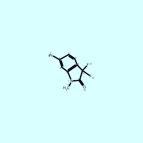 CC(C)c1ccc2c(c1)N(C)C(=O)C2(F)F